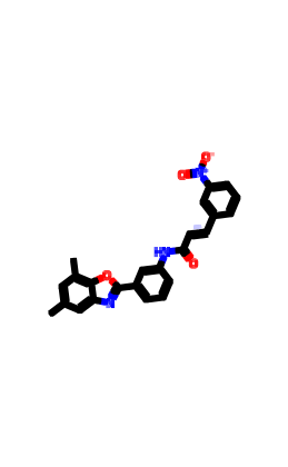 Cc1cc(C)c2oc(-c3cccc(NC(=O)/C=C/c4cccc([N+](=O)[O-])c4)c3)nc2c1